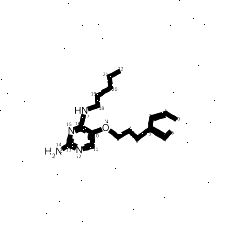 C/C=C\C(=C/C)CCCOc1cnc(N)nc1NCCCCC